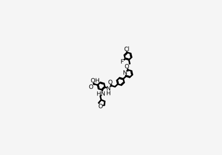 O=C(Cc1ccc(-c2cccc(OCc3ccc(Cl)cc3F)n2)cc1)Nc1ccc(C(=O)O)cc1NCC1CCOC1